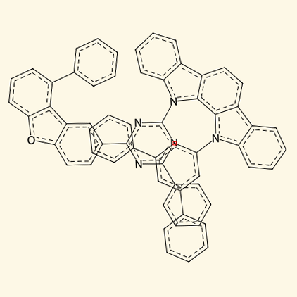 c1ccc(-c2cc(-c3ccccc3)cc(-n3c4ccccc4c4ccc5c6ccccc6n(-c6nc(-c7ccccc7)nc(-c7ccc8oc9cccc(-c%10ccccc%10)c9c8c7)n6)c5c43)c2)cc1